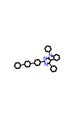 c1ccc(-c2ccc(-c3ccc(-c4nc(-c5ccccc5)c5c6ccccc6n(-c6ccccc6)c5n4)cc3)cc2)cc1